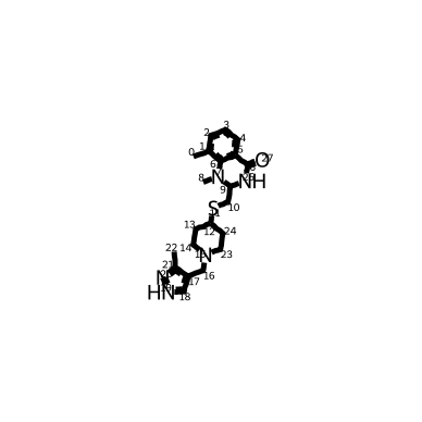 Cc1cccc2c1N(C)C(CSC1CCN(Cc3c[nH]nc3C)CC1)NC2=O